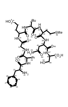 CCC(C)C(NC(=O)C(CCC(=O)O)NC(=O)CNC(=O)C(NC(=O)C(N)Cc1ccccc1)C(C)C)C(=O)NC(CCSC)C(=O)NC(CC(N)=O)C(=O)NC(CO)C(=O)O